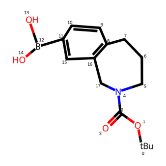 CC(C)(C)OC(=O)N1CCCc2ccc(B(O)O)cc2C1